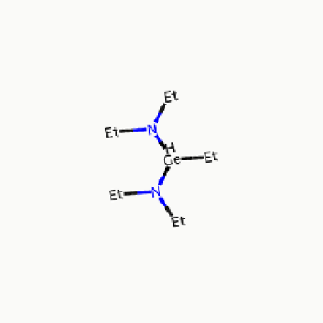 CC[N](CC)[GeH]([CH2]C)[N](CC)CC